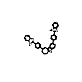 CN1C(c2ccc(C3=Cc4c(sc5ccc(-c6ccc(-c7nc8ccccc8n7C)cc6)cc45)CCC3)cc2)=NC2C=CC=CC21